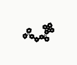 c1ccc(N(c2ccccc2)c2ccc(-c3cccc(-c4ccc5c(c4)c4ccccc4n5-c4ccc5c(c4)-c4ccccc4C5(c4ccccc4)c4ccccc4)c3)cc2)cc1